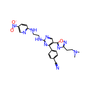 CN(C)CCc1noc(-c2cnc(NCCNc3ccc([N+](=O)[O-])cn3)nc2-c2ccc(C#N)cc2)n1